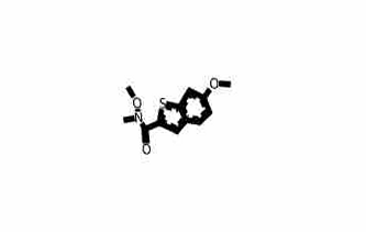 COc1ccc2cc(C(=O)N(C)OC)sc2c1